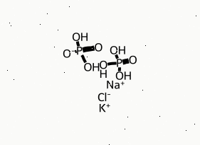 O=P(O)(O)O.O=P([O-])(O)O.[Cl-].[K+].[Na+]